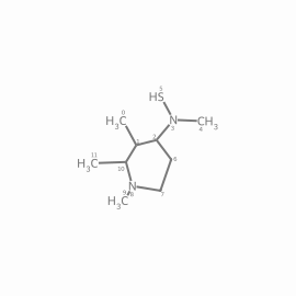 CC1C(N(C)S)CCN(C)C1C